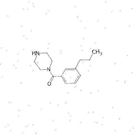 CCCc1cccc(C(=O)N2CCNCC2)c1